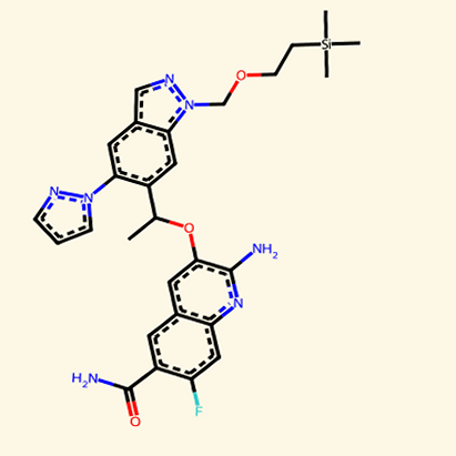 CC(Oc1cc2cc(C(N)=O)c(F)cc2nc1N)c1cc2c(cnn2COCC[Si](C)(C)C)cc1-n1cccn1